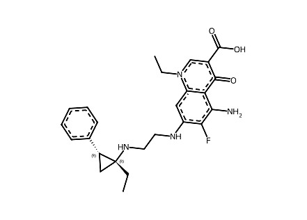 CCn1cc(C(=O)O)c(=O)c2c(N)c(F)c(NCCN[C@]3(CC)C[C@@H]3c3ccccc3)cc21